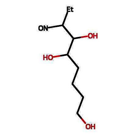 CCC(N=O)C(O)C(O)CCCCO